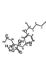 CCCCC(C)Oc1ccnc(CC(O)(C(=O)O)C(N)CC(C)C)c1